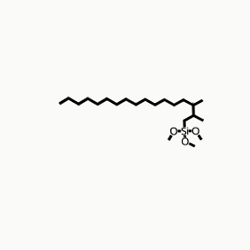 CCCCCCCCCCCCCC[C](C)C(C)C[Si](OC)(OC)OC